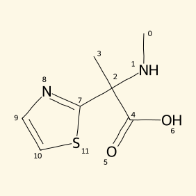 CNC(C)(C(=O)O)c1nccs1